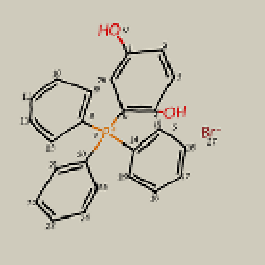 Oc1ccc(O)c([P+](c2ccccc2)(c2ccccc2)c2ccccc2)c1.[Br-]